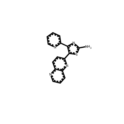 Nc1nc(-c2ccccn2)c(-c2ccc3ncccc3n2)s1